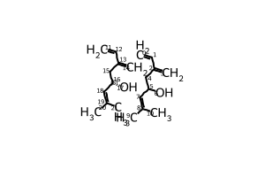 C=CC(=C)CC(O)C=C(C)C.C=CC(=C)C[C@H](O)C=C(C)C